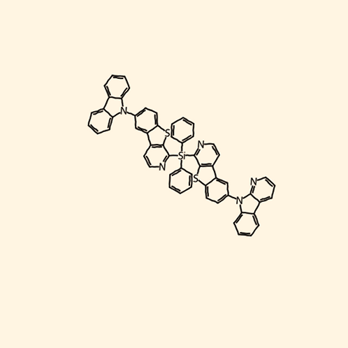 c1ccc([Si](c2ccccc2)(c2nccc3c2sc2ccc(-n4c5ccccc5c5ccccc54)cc23)c2nccc3c2sc2ccc(-n4c5ccccc5c5cccnc54)cc23)cc1